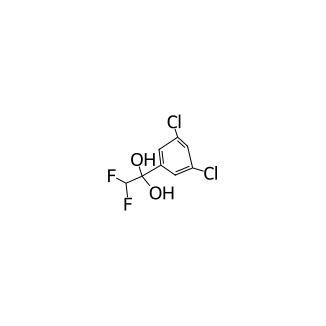 OC(O)(c1cc(Cl)cc(Cl)c1)C(F)F